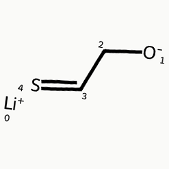 [Li+].[O-]CC=S